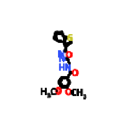 COc1ccc(C(=O)NCc2nnc(-c3csc4ccccc34)o2)cc1OC